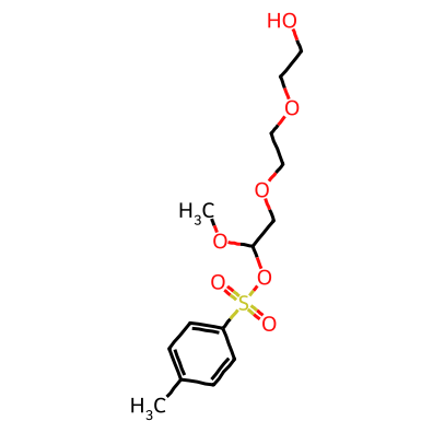 COC(COCCOCCO)OS(=O)(=O)c1ccc(C)cc1